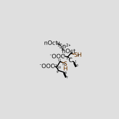 C=CCC(CS)C(=O)[O-].C=CCC(CS)C(=O)[O-].CCCCCCC[CH2][Sn+2][CH2]CCCCCCC